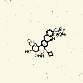 N#Cc1cc(OC2CCC2)c([C@@H]2O[C@H](CO)[C@@H](O)[C@H](O)[C@H]2O)cc1Cc1ccc(OS(=O)(=O)C(F)(F)F)cc1